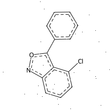 Clc1cccc2noc(-c3ccccc3)c12